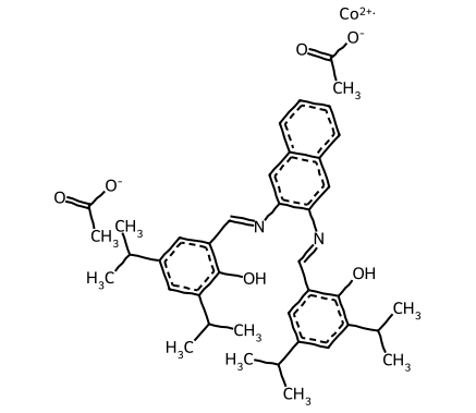 CC(=O)[O-].CC(=O)[O-].CC(C)c1cc(C=Nc2cc3ccccc3cc2N=Cc2cc(C(C)C)cc(C(C)C)c2O)c(O)c(C(C)C)c1.[Co+2]